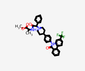 COC(=O)C(C)NC(=O)C(c1ccccc1)N1CCC(c2ccc(NC(=O)c3ccccc3-c3ccc(C(F)(F)F)cc3)cc2)CC1